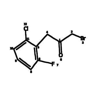 O=C(CBr)Cc1c(F)cccc1Cl